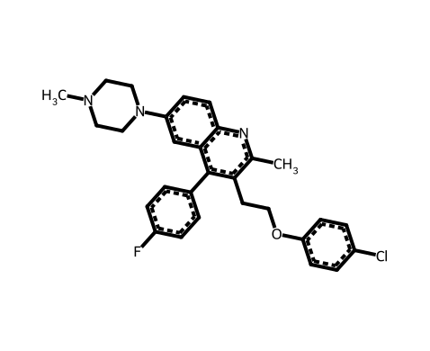 Cc1nc2ccc(N3CCN(C)CC3)cc2c(-c2ccc(F)cc2)c1CCOc1ccc(Cl)cc1